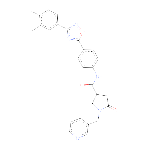 Cc1ccc(-c2noc(-c3ccc(NC(=O)C4CC(=O)N(Cc5cccnc5)C4)cc3)n2)cc1C